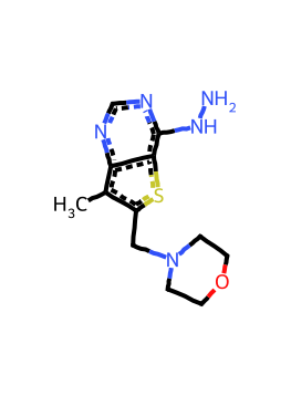 Cc1c(CN2CCOCC2)sc2c(NN)ncnc12